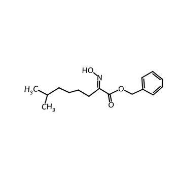 CC(C)CCCCC(=NO)C(=O)OCc1ccccc1